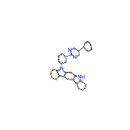 c1ccc(-c2cnc(-c3cccc(-n4c5ccccc5c5cc6c(cc54)[nH]c4ccccc46)c3)nc2)cc1